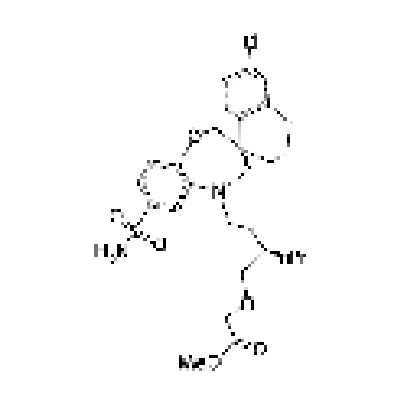 CCC[C@H](CCN1C[C@@]2(CCCc3cc(Cl)ccc32)COc2ccc(S(N)(=O)=O)cc21)COCC(=O)OC